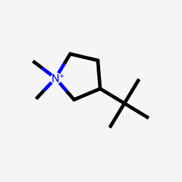 CC(C)(C)C1CC[N+](C)(C)C1